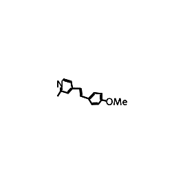 COc1ccc(/C=C/c2ccnc(C)c2)cc1